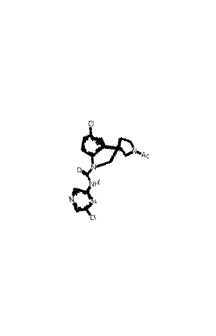 CC(=O)N1CCC2(C1)CN(C(=O)Nc1cncc(Cl)n1)c1ccc(Cl)cc12